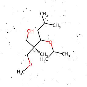 COC[C@](C)(CO)C(CC(C)C)OC(C)C